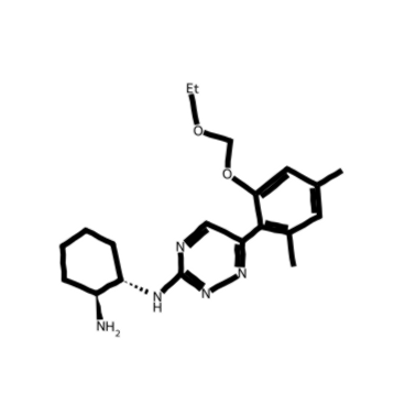 CCOCOc1cc(C)cc(C)c1-c1cnc(N[C@H]2CCCC[C@@H]2N)nn1